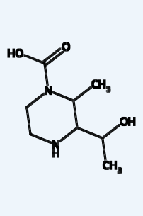 CC(O)C1NCCN(C(=O)O)C1C